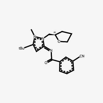 Cn1c(C(C)(C)C)cc(=NC(=O)c2cccc(C#N)c2)n1C[C@H]1CCCO1